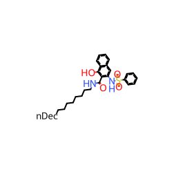 CCCCCCCCCCCCCCCCCCNC(=O)c1c(NS(=O)(=O)c2ccccc2)cc2ccccc2c1O